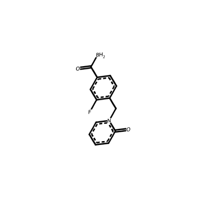 BC(=O)c1ccc(Cn2ccccc2=O)c(F)c1